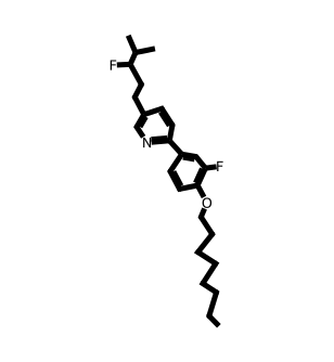 CCCCCCCCOc1ccc(-c2ccc(CCC(F)C(C)C)cn2)cc1F